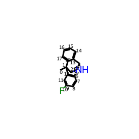 CC12CNC(Cc3ccc(F)cc31)c1ccccc12